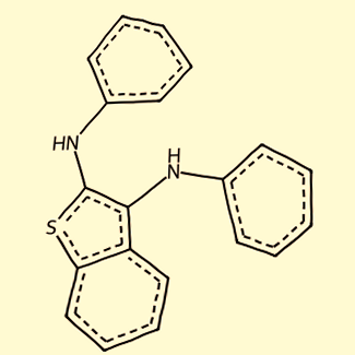 c1ccc(Nc2sc3ccccc3c2Nc2ccccc2)cc1